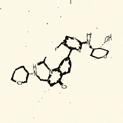 CC(C)n1c(CN[C@H]2CCCOC2)cc(=O)c2ccc(-c3nc(N[C@@H]4CCOC[C@H]4O)ncc3F)cc21